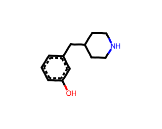 Oc1cccc(CC2CCNCC2)c1